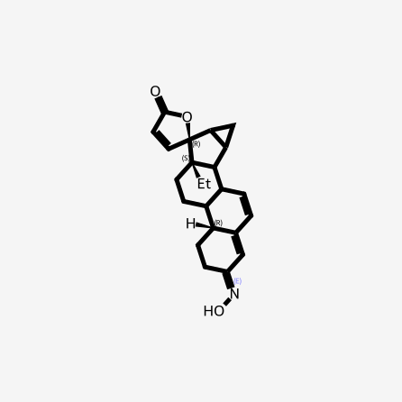 CC[C@]12CCC3C(C=CC4=C/C(=N/O)CC[C@@H]43)C1C1CC1[C@@]21C=CC(=O)O1